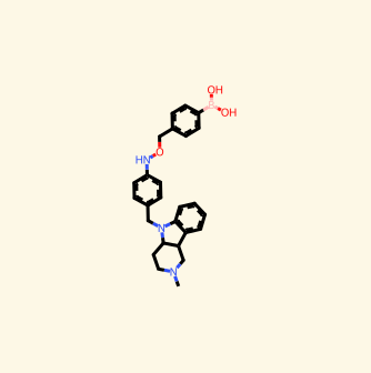 CN1CCC2C(C1)c1ccccc1N2Cc1ccc(NOCc2ccc(B(O)O)cc2)cc1